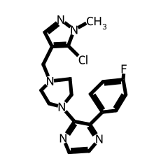 Cn1ncc(CN2CCN(c3nccnc3-c3ccc(F)cc3)CC2)c1Cl